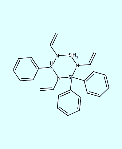 C=CN1[SiH2]N(C=C)[Si](c2ccccc2)(c2ccccc2)N(C=C)[SiH]1c1ccccc1